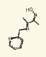 CC(=N/O)/C(C)=N/Cc1ccccn1